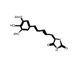 COc1cc(/C=C/C=C/C=C2/SC(=O)NC2=O)cc(OC)c1O